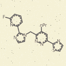 CCCc1cc(-c2nccs2)nnc1Cn1ccnc1-c1cccc(F)n1